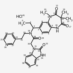 CCC(c1ccc2c(c1)N(C)C(=O)C(C)(C)C(=O)N2)N(CCc1cccnc1)C(=O)Cn1c(=O)[nH]c2ccccc21.Cl